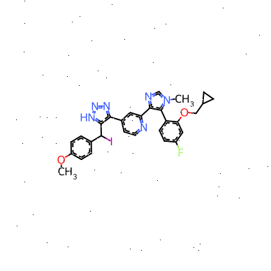 COc1ccc(C(I)c2[nH]nnc2-c2ccnc(-c3ncn(C)c3-c3ccc(F)cc3OCC3CC3)c2)cc1